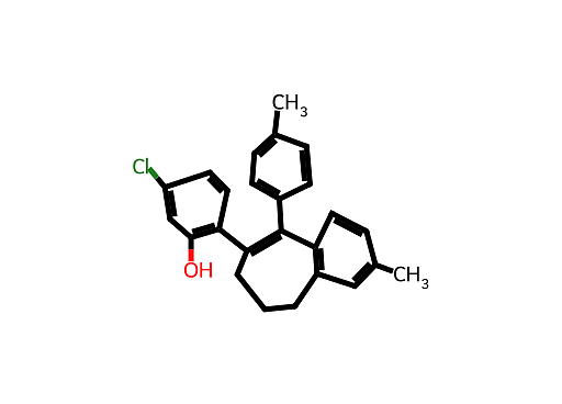 Cc1ccc(C2=C(c3ccc(Cl)cc3O)CCCc3cc(C)ccc32)cc1